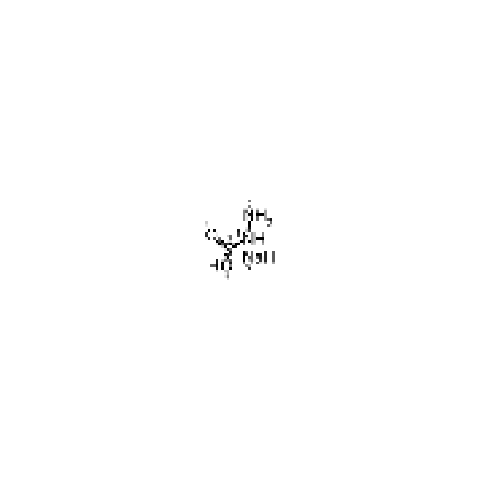 NNS(=O)O.[NaH]